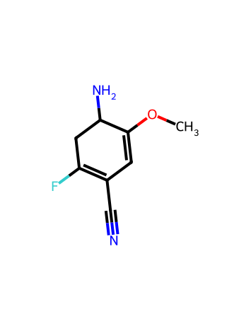 COC1=CC(C#N)=C(F)CC1N